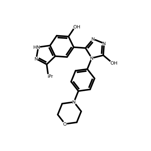 CC(C)c1n[nH]c2cc(O)c(-c3nnc(O)n3-c3ccc(N4CCOCC4)cc3)cc12